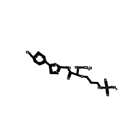 NS(=O)(=O)NCCCCC(NC(=O)O)C(=O)Nc1nc(-c2ccc(Cl)cc2)cs1